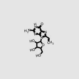 C=Cc1nc2c(=O)[nH]c(N)nc2n1C1OC(CO)C(O)C1O